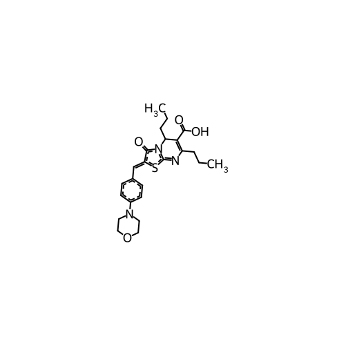 CCCC1=C(C(=O)O)C(CCC)n2c(s/c(=C\c3ccc(N4CCOCC4)cc3)c2=O)=N1